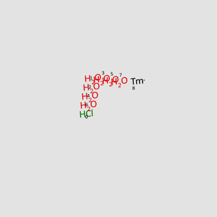 Cl.O.O.O.O.O.O.O.[Tm]